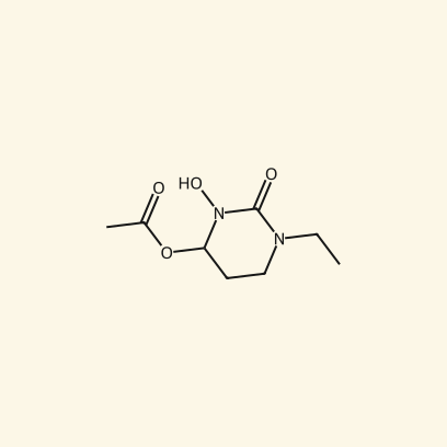 CCN1CCC(OC(C)=O)N(O)C1=O